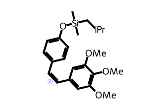 COc1cc(/C=C\c2ccc(O[Si](C)(C)CC(C)C)cc2)cc(OC)c1OC